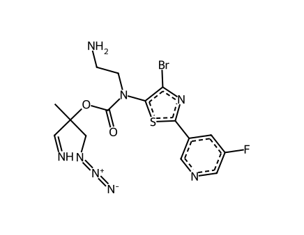 CC(C=N)(CN=[N+]=[N-])OC(=O)N(CCN)c1sc(-c2cncc(F)c2)nc1Br